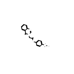 NS(=O)(=O)c1ccc(NC(=O)Cn2cnc3ccccc3c2=O)cc1